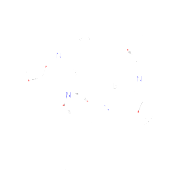 C=C/C=C\C=C1\c2ccc(N3c4cc5c(cc4B4c6ccccc6N(c6c(-c7ccccc7)cccc6-c6ccccc6)c6cc(C(C)(C)C)cc3c64)B3c4ccccc4N(c4c(-c6ccccc6)cccc4-c4ccccc4)c4cc(C(C)(C)C)cc(c43)N5c3c(-c4ccccc4)cccc3-c3ccccc3)cc2C2=C(CC=C2)[C@H]1C